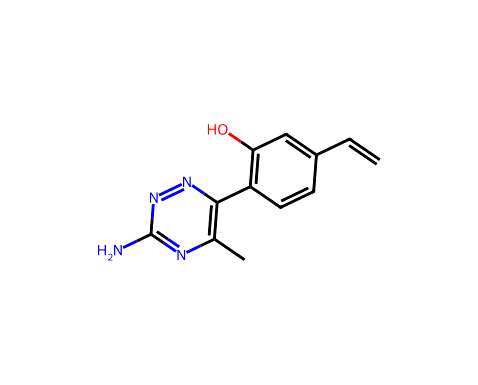 C=Cc1ccc(-c2nnc(N)nc2C)c(O)c1